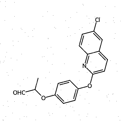 CC(C=O)Oc1ccc(Oc2ccc3cc(Cl)ccc3n2)cc1